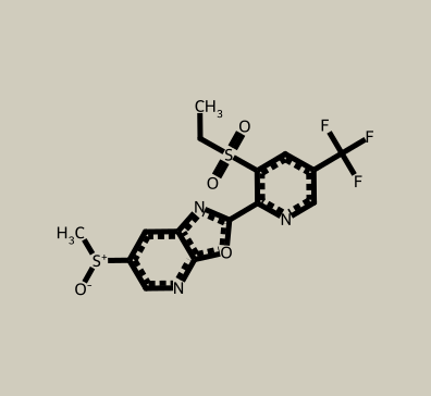 CCS(=O)(=O)c1cc(C(F)(F)F)cnc1-c1nc2cc([S+](C)[O-])cnc2o1